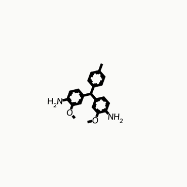 COc1cc(C(c2ccc(C)cc2)c2ccc(N)c(OC)c2)ccc1N